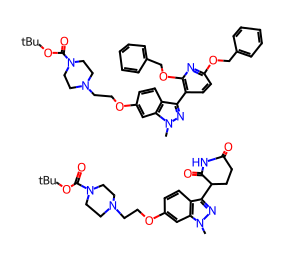 Cn1nc(-c2ccc(OCc3ccccc3)nc2OCc2ccccc2)c2ccc(OCCN3CCN(C(=O)OC(C)(C)C)CC3)cc21.Cn1nc(C2CCC(=O)NC2=O)c2ccc(OCCN3CCN(C(=O)OC(C)(C)C)CC3)cc21